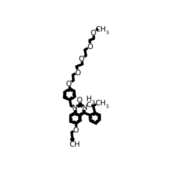 C#CCOc1ccc2c(c1)c(-c1ccccc1C(C)C)nc(=O)n2Cc1ccc(OCCOCCOCCOCCOC)cc1